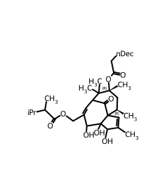 CCCCCCCCCCCC(=O)O[C@]1(C)C[C@@H](C)C23C=C(C)C(O)C2(O)C(O)C(COC(=O)C(C)C(C)C)=CC(C3=O)C1(C)C